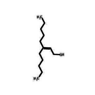 CCCCCC(=CCO)CCCCC